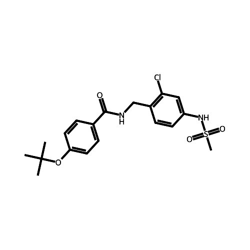 CC(C)(C)Oc1ccc(C(=O)NCc2ccc(NS(C)(=O)=O)cc2Cl)cc1